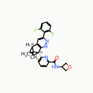 CC1(C)[C@H]2CC[C@]1(c1cccc(C(=O)NC3COC3)n1)c1nnc(-c3c(F)cccc3F)cc12